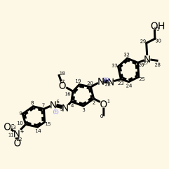 COc1cc(/N=N/c2ccc([N+](=O)[O-])cc2)c(OC)cc1/N=N/c1ccc(N(C)CCO)cc1